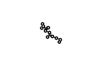 c1ccc(N(c2ccc(-c3ccc(-c4cccc5ccccc45)cc3)cc2)c2cccc(-c3cccc4c3c3ccccc3n4-c3cc4ccccc4c4ccccc34)c2)cc1